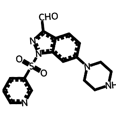 O=Cc1nn(S(=O)(=O)c2cccnc2)c2cc(N3CCNCC3)ccc12